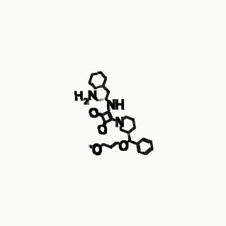 COCCCOC(c1ccccc1)[C@@H]1CCCN(c2c(N[C@H](CN)CC3CCCCC3)c(=O)c2=O)C1